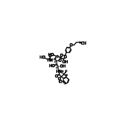 C#CCCOc1ccc(CO[C@]2(C(=O)O)C[C@H](O)[C@@H](NC(=O)CO)[C@H]([C@H](O)[C@H](O)CNC(=O)C(OC)(c3ccccc3)C(F)(F)F)O2)cc1